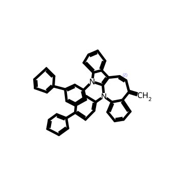 C=C1/C=C\c2c(n(-c3cccc(-c4ccccc4)c3)c3ccccc23)N(c2ccc(-c3ccccc3)cc2)c2ccccc21